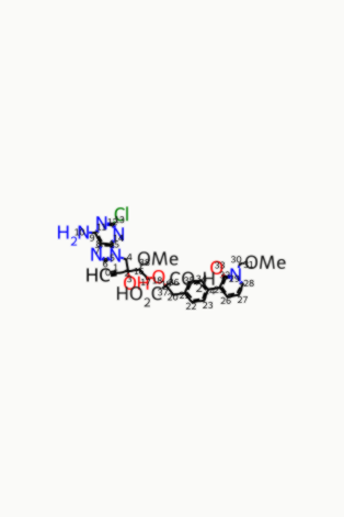 C#C[C@](O)(Cn1cnc2c(N)nc(Cl)nc21)[C@@H](COC(Cc1ccc(-c2cccn(COC)c2=O)cc1)(C(=O)O)C(=O)O)OC